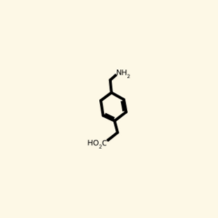 NCC1C=CC(CC(=O)O)=CC1